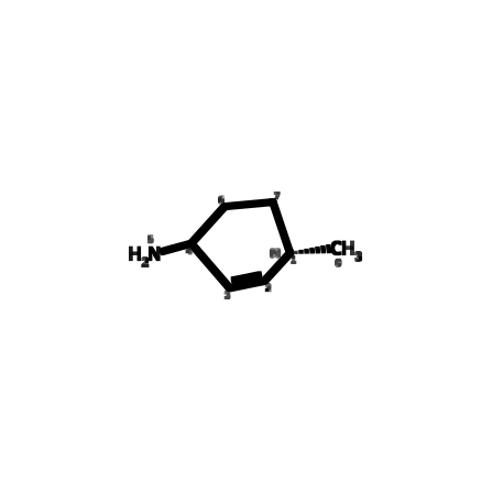 C[C@@H]1C=CC(N)CC1